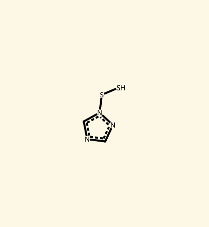 SSn1cncn1